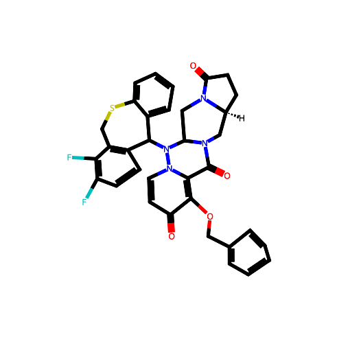 O=C1c2c(OCc3ccccc3)c(=O)ccn2N(C2c3ccccc3SCc3c2ccc(F)c3F)C2CN3C(=O)CC[C@H]3CN12